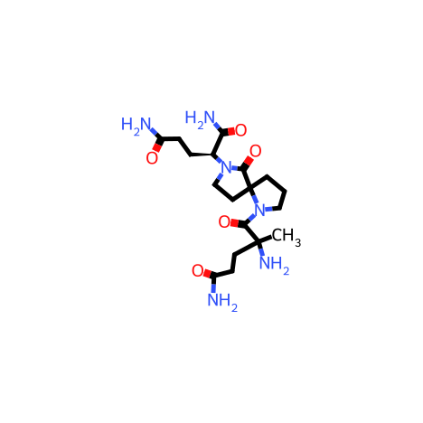 CC(N)(CCC(N)=O)C(=O)N1CCCC12CCN([C@@H](CCC(N)=O)C(N)=O)C2=O